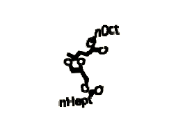 CCCCCCCCOC(=O)CCC1(C)OCC(COC(=O)CCCCCCC)O1